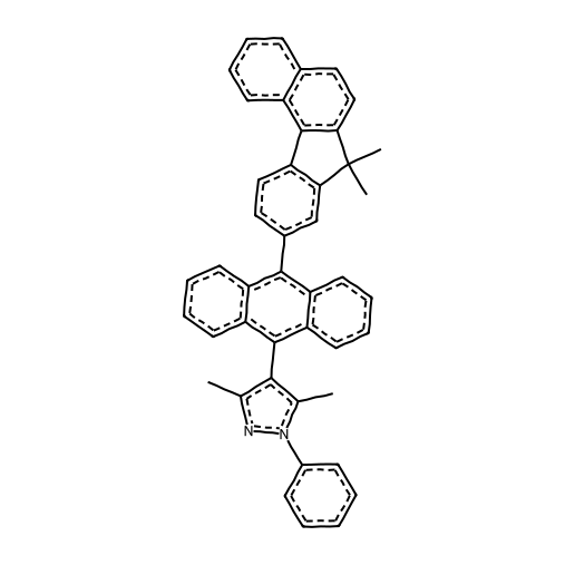 Cc1nn(-c2ccccc2)c(C)c1-c1c2ccccc2c(-c2ccc3c(c2)C(C)(C)c2ccc4ccccc4c2-3)c2ccccc12